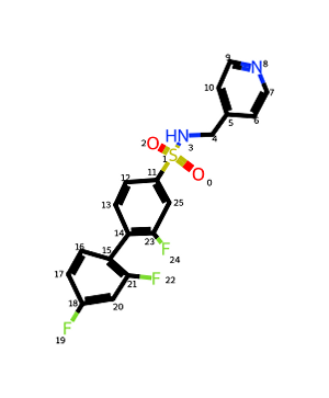 O=S(=O)(NCc1ccncc1)c1ccc(-c2ccc(F)cc2F)c(F)c1